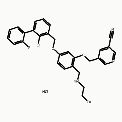 Cl.N#Cc1cncc(COc2cc(OCc3cccc(-c4ccccc4F)c3Cl)ccc2CNCCO)c1